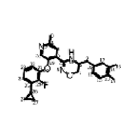 Cc1cc(C2=NOCC(Cc3ccc(C)c(C)c3)N2)c(Oc2cccc(C3CC3)c2F)cn1